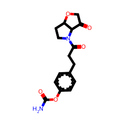 NC(=O)Oc1ccc(C[CH]C(=O)N2CCC3OCC(=O)C32)cc1